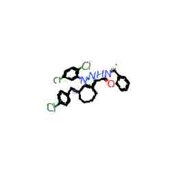 C[C@@H](NC(=O)c1nn(-c2cc(Cl)ccc2Cl)c2c1CCCC/C2=C\c1ccc(Cl)cc1)c1ccccc1